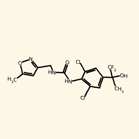 Cc1cc(CNC(=O)Nc2c(Cl)cc(C(C)(O)C(F)(F)F)cc2Cl)no1